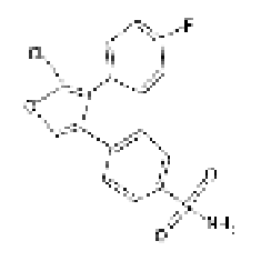 NS(=O)(=O)c1ccc(-c2coc(Cl)c2-c2ccc(F)cc2)cc1